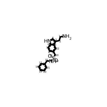 NCCc1c[nH]c2ccc(CS(=O)(=O)NCc3ccccc3)cc12